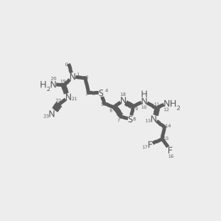 CN(CCSCc1csc(NC(N)=NCC(F)F)n1)C(N)=NC#N